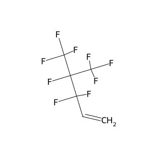 C=CC(F)(F)C(F)(C(F)(F)F)C(F)(F)F